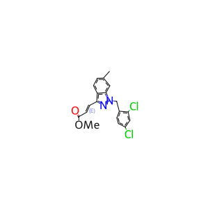 COC(=O)/C=C/c1nn(Cc2ccc(Cl)cc2Cl)c2cc(C)ccc12